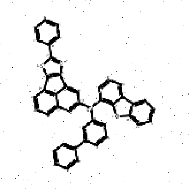 c1ccc(-c2cccc(N(c3cc4c5c(cccc5c3)-c3sc(-c5ccccc5)nc3-4)c3cccc4c3oc3ccccc34)c2)cc1